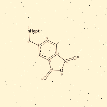 CCCCCCCCc1ccc2c(c1)C(=O)OC2=O